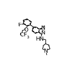 CN1CCC(CNc2nn(C)c3cc(-c4cccc(F)c4OCC(F)(F)F)ccc23)CC1